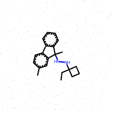 CCC1(NNC2(C)c3ccccc3-c3ccc(C)cc32)CCC1